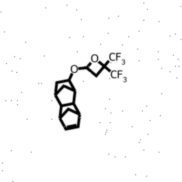 FC(F)(F)C1(C(F)(F)F)CC(OC2CC3CC2C2C4C=CC(C4)C32)O1